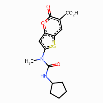 CN(C(=O)NC1CCCC1)c1cc2oc(=O)c(C(=O)O)cc2s1